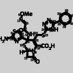 CON=CC(=O)NC1(c2csc(N)n2)S[C@H]2CC(=O)N2C(C(=O)O)=C1CSc1nnc(-c2ccccc2)[nH]1